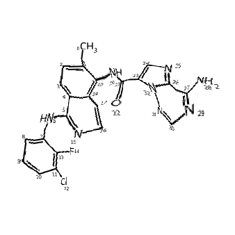 Cc1ccc2c(Nc3cccc(Cl)c3F)nccc2c1NC(=O)c1cnc2c(N)ncnn12